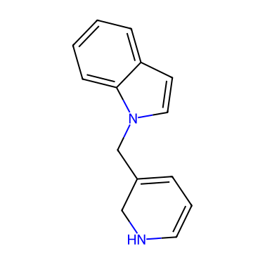 C1=CNCC(Cn2ccc3ccccc32)=C1